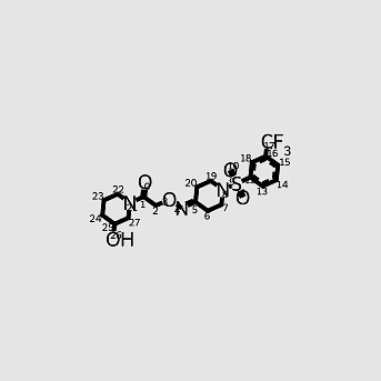 O=C(CON=C1CCN(S(=O)(=O)c2cccc(C(F)(F)F)c2)CC1)N1CCCC(O)C1